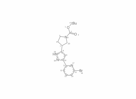 CC(C)(C)OC(=O)N1CCC(c2cc(-c3cccc(Br)n3)n[nH]2)C1